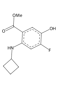 COC(=O)c1cc(O)c(F)cc1NC1CCC1